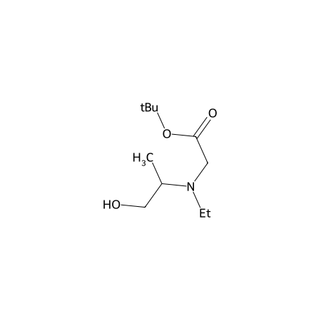 CCN(CC(=O)OC(C)(C)C)C(C)CO